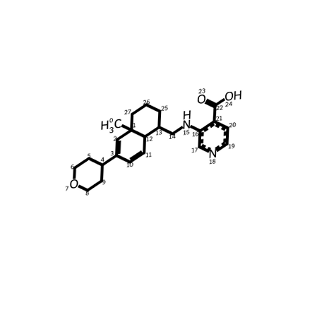 CC12C=C(C3CCOCC3)C=CC1C(CNc1cnccc1C(=O)O)CCC2